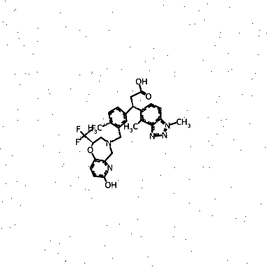 Cc1ccc([C@@H](CC(=O)O)c2ccc3c(nnn3C)c2C)cc1CN1Cc2nc(O)ccc2O[C@@H](C(F)(F)F)C1